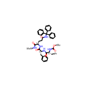 CNNC(=O)[C@@H](CCC(=O)NC(c1ccccc1)(c1ccccc1)c1ccccc1)NC(=O)[C@@H](Cc1ccccc1)NC(=O)[C@@H](CC(C)C)NC(=O)OC(C)(C)C